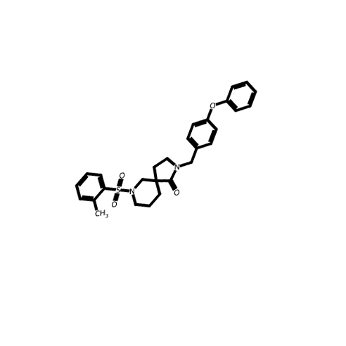 Cc1ccccc1S(=O)(=O)N1CCCC2(CCN(Cc3ccc(Oc4ccccc4)cc3)C2=O)C1